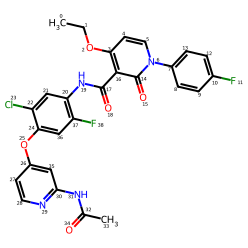 CCOc1ccn(-c2ccc(F)cc2)c(=O)c1C(=O)Nc1cc(Cl)c(Oc2ccnc(NC(C)=O)c2)cc1F